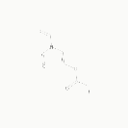 C=CN(C=O)C=COC(=O)CC